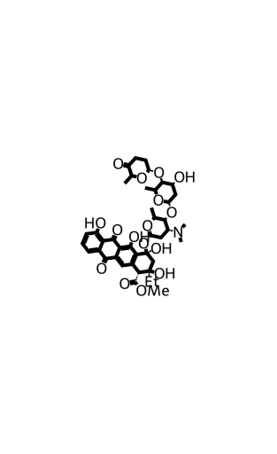 CC[C@@]1(O)C[C@](O)(O[C@H]2C[C@@H](N(C)C)[C@H](O[C@H]3C[C@@H](O)[C@H](O[C@H]4CCC(=O)C(C)O4)C(C)O3)C(C)O2)c2c(cc3c(c2O)C(=O)c2c(O)cccc2C3=O)[C@H]1C(=O)OC